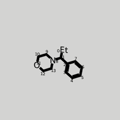 [CH2]CC(c1ccccc1)N1CCOCC1